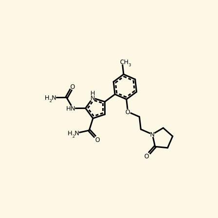 Cc1ccc(OCCN2CCCC2=O)c(-c2cc(C(N)=O)c(NC(N)=O)[nH]2)c1